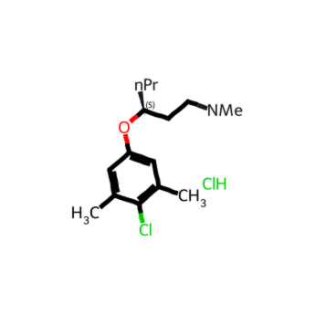 CCC[C@@H](CCNC)Oc1cc(C)c(Cl)c(C)c1.Cl